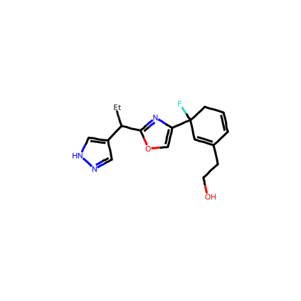 CCC(c1cn[nH]c1)c1nc(C2(F)C=C(CCO)C=CC2)co1